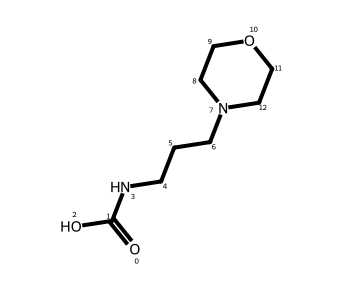 O=C(O)NCCCN1CCOCC1